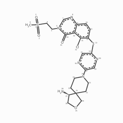 CS(=O)(=O)CCn1cnc2ccc(Sc3cnc(N4CCC5(CC4)COC[C@H]5N)cn3)c(Cl)c2c1=O